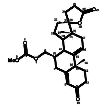 COC(=O)OC[C@@H]1CC2=CC(=O)CC[C@]2(C)C2=CC[C@@]3(C)C(CC[C@@]34CCC(=O)O4)C21